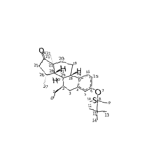 CC[C@@H]1Cc2cc(O[Si](C)(C)C(C)(C)C)ccc2[C@H]2CC[C@]3(C)C(=O)C[C@@H](C)[C@H]3[C@H]12